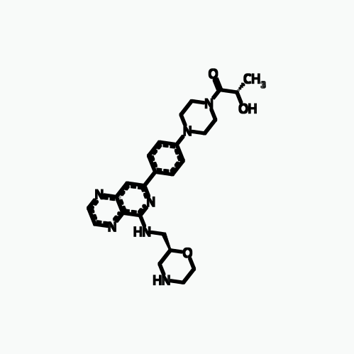 C[C@H](O)C(=O)N1CCN(c2ccc(-c3cc4nccnc4c(NC[C@@H]4CNCCO4)n3)cc2)CC1